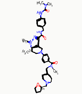 CC(C)n1nc(C(=O)NCc2ccc(NC(=O)N(C)C)cc2)c2c1[C@@H](C)CN(c1ccc(C(=O)N(C)CC3CCN(C[C@H]4CCCO4)CC3)cc1)C2